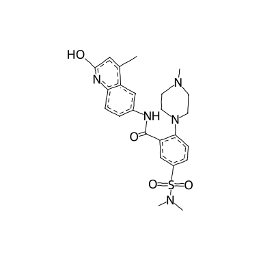 Cc1cc(O)nc2ccc(NC(=O)c3cc(S(=O)(=O)N(C)C)ccc3N3CCN(C)CC3)cc12